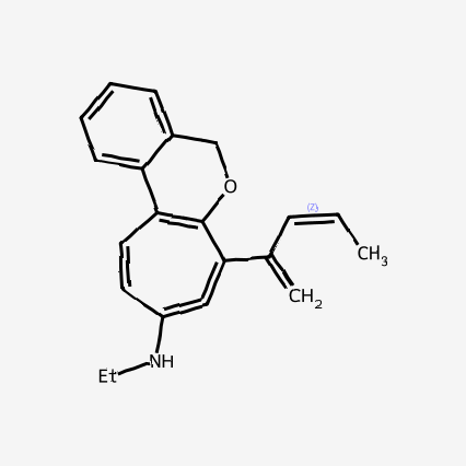 C=C(/C=C\C)C1=C=C(NCC)C=CC2=C1OCc1ccccc12